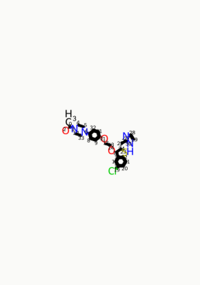 CC(=O)N1CCN(c2ccc(OCCO[C@H]3c4cc(Cl)ccc4S[C@H]3Cc3ncc[nH]3)cc2)CC1